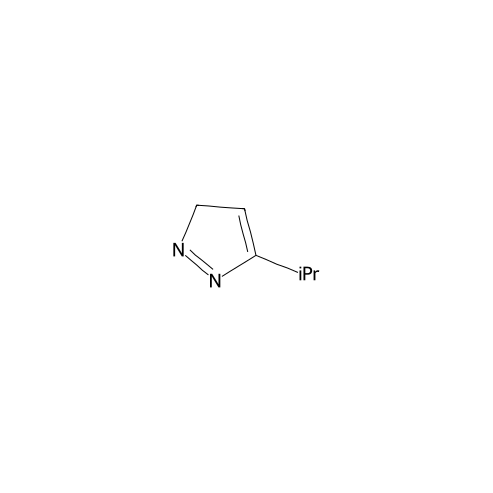 CC(C)C1=CCN=N1